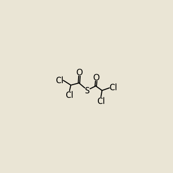 O=C(SC(=O)C(Cl)Cl)C(Cl)Cl